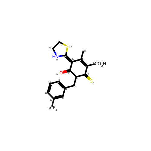 CC1=C(C(=O)O)C(=S)C(Cc2cccc(C(F)(F)F)c2)C(=O)C1=C1NCCS1